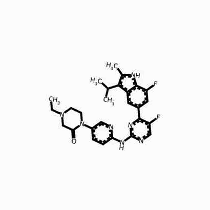 CCN1CCN(c2ccc(Nc3ncc(F)c(-c4cc(F)c5[nH]c(C)c(C(C)C)c5c4)n3)nc2)C(=O)C1